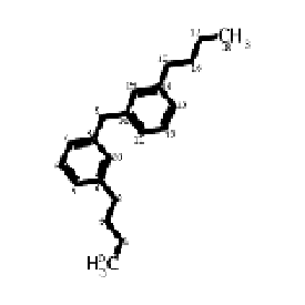 CCCCc1cccc(Cc2cccc(CCCC)c2)c1